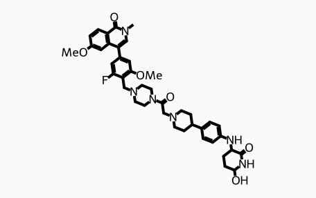 COc1ccc2c(=O)n(C)cc(-c3cc(F)c(CN4CCN(C(=O)CN5CCC(c6ccc(NC7CCC(O)NC7=O)cc6)CC5)CC4)c(OC)c3)c2c1